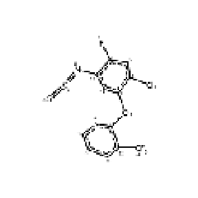 Fc1cc(Cl)c(Oc2ncccc2C(F)(F)F)cc1N=C=S